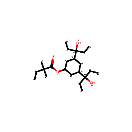 CCC(C)(C)C(=O)OC1CC(C(O)(CC)CC)CC(C(O)(CC)CC)C1